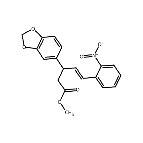 COC(=O)CC(/C=C/c1ccccc1[N+](=O)[O-])c1ccc2c(c1)OCO2